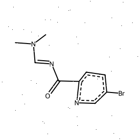 CN(C)C=NC(=O)c1ccc(Br)cn1